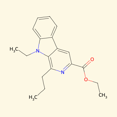 CCCc1nc(C(=O)OCC)cc2c3ccccc3n(CC)c12